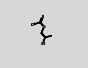 CCC(C)COC(=S)Cl